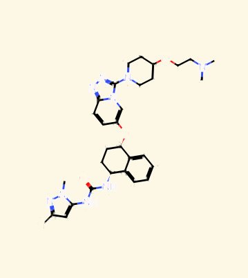 CN(C)CCOC1CCN(c2nnc3ccc(O[C@@H]4CC[C@H](NC(=O)Nc5cc(C(C)(C)C)nn5C)c5ccccc54)cn23)CC1